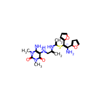 C=C(CNc1c(N)n(C)c(=O)n(C)c1=O)NC(=C)S/C(=C(\N)c1ccco1)c1ccco1